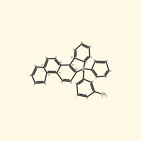 Cc1cccc([Si]2(c3ccccc3)c3ccccc3-c3c2ccc2c3ccc3ccccc32)c1